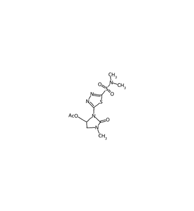 CC(=O)OC1CN(C)C(=O)N1c1nnc(S(=O)(=O)N(C)C)s1